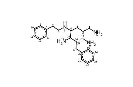 NCCCC(NCCc1ccccc1)C(N)[C@H](CN)Cc1ccccc1